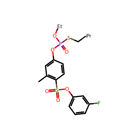 CCOP(=O)(Oc1ccc(S(=O)(=O)Oc2cccc(F)c2)c(C)c1)SCC(C)C